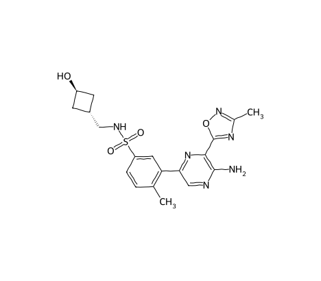 Cc1noc(-c2nc(-c3cc(S(=O)(=O)NC[C@H]4C[C@H](O)C4)ccc3C)cnc2N)n1